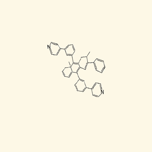 CC1CC2=C(c3cccc(-c4ccncc4)c3)C3(C)CC=CC=C3C(c3cccc(-c4ccncc4)c3)=C2C=C1c1ccccc1